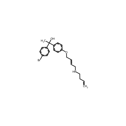 C=CCCNCC=CCOc1ccc(C(C)(O)c2ccc(Br)cc2)cc1